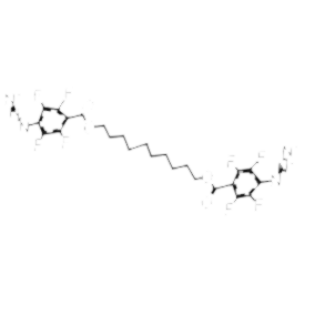 [N-]=[N+]=Nc1c(F)c(F)c(C(=O)OCCCCCCCCCCOC(=O)c2c(F)c(F)c(N=[N+]=[N-])c(F)c2F)c(F)c1F